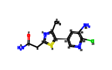 Cc1nc(CC(N)=O)sc1-c1cnc(Cl)c(N)c1